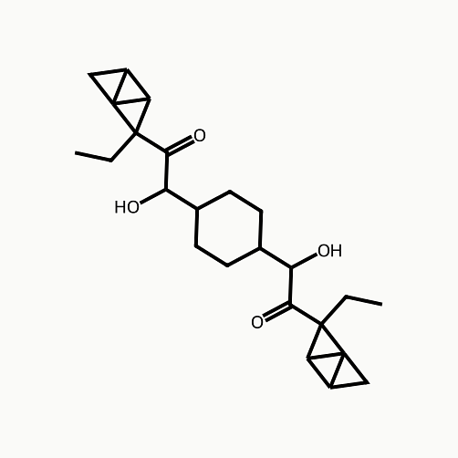 CCC1(C(=O)C(O)C2CCC(C(O)C(=O)C3(CC)C4C5CC543)CC2)C2C3CC321